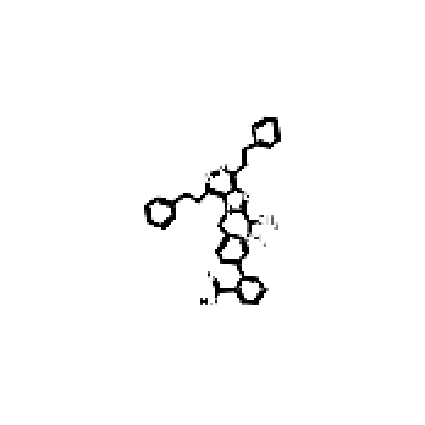 CC(C)c1nc2c(CCc3ccccc3)nnc(CCc3ccccc3)c2n1Cc1ccc(-c2ccccc2C(=O)O)cc1